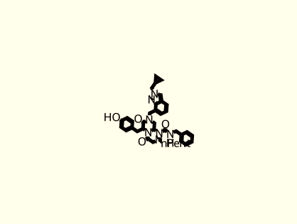 CCCCCN1CC(=O)N2C(Cc3ccc(O)cc3)C(=O)N(Cc3cccc4cn(CC5CC5)nc34)CC2N1C(=O)NCc1ccccc1